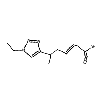 CCn1cc(C(C)C/C=C/C(=O)O)nn1